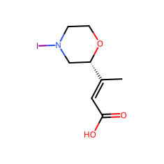 C/C(=C\C(=O)O)[C@@H]1CN(I)CCO1